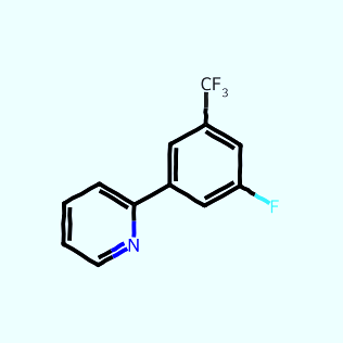 Fc1cc(-c2ccccn2)cc(C(F)(F)F)c1